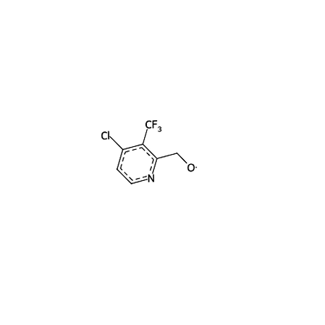 [O]Cc1nccc(Cl)c1C(F)(F)F